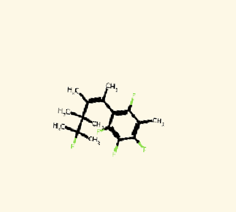 C/C(=C(\C)C(C)(C)C(C)(C)F)c1c(F)c(C)c(F)c(F)c1F